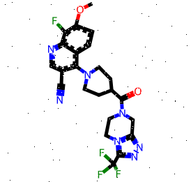 COc1ccc2c(N3CCC(C(=O)N4CCn5c(nnc5C(F)(F)F)C4)CC3)c(C#N)cnc2c1F